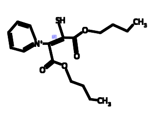 CCCCOC(=O)/C(S)=C(\C(=O)OCCCC)[n+]1ccccc1